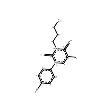 Cc1cn(-c2ccc(F)cc2)c(=O)n(CCCCl)c1=O